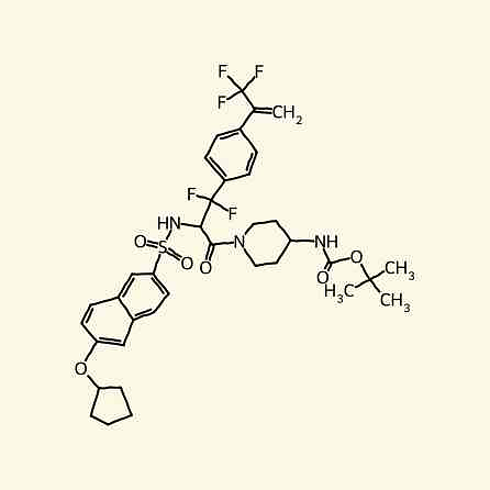 C=C(c1ccc(C(F)(F)C(NS(=O)(=O)c2ccc3cc(OC4CCCC4)ccc3c2)C(=O)N2CCC(NC(=O)OC(C)(C)C)CC2)cc1)C(F)(F)F